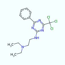 CCN(CC)CCNc1nc(-c2ccccc2)nc(C(Cl)(Cl)Cl)n1